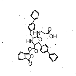 C[C@H](CC(=O)O)NC(=O)[C@H](Cc1ccc(-c2ccccc2)cc1)NC(Cc1ccc(-c2ccccc2)cc1)C(=O)OC1=C2C=CC=CC2C(=O)O1